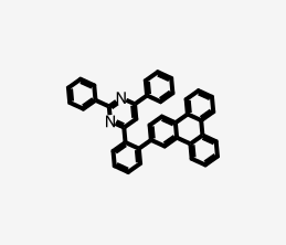 c1ccc(-c2cc(-c3ccccc3-c3ccc4c5ccccc5c5ccccc5c4c3)nc(-c3ccccc3)n2)cc1